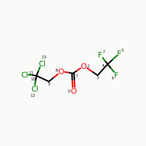 O=C(OCC(F)(F)F)OCC(Cl)(Cl)Cl